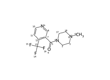 CN1CCN(C(=O)c2cnccc2C(F)(F)F)CC1